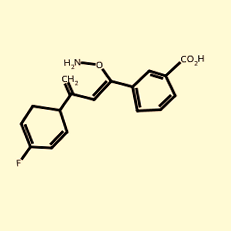 C=C(/C=C(\ON)c1cccc(C(=O)O)c1)C1C=CC(F)=CC1